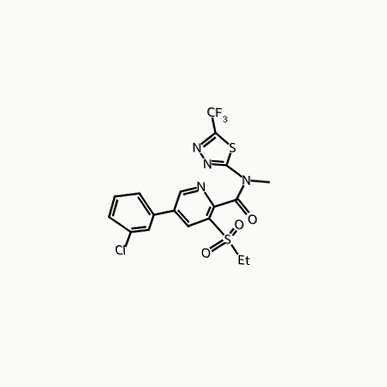 CCS(=O)(=O)c1cc(-c2cccc(Cl)c2)cnc1C(=O)N(C)c1nnc(C(F)(F)F)s1